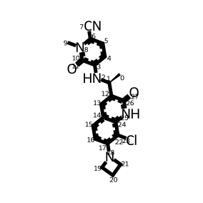 C[C@H](Nc1ccc(C#N)n(C)c1=O)c1cc2ccc(N3CCC3)c(Cl)c2[nH]c1=O